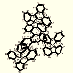 c1ccc([Si]2(c3ccccc3)c3ccccc3-c3cccc(-c4cccc5c(-c6cccc7c6-c6ccccc6C76c7ccccc7-c7c6c6ccccc6c6ccccc76)c6cccc(-c7cccc8c7[Si](c7ccccc7)(c7ccccc7)c7ccccc7-8)c6cc45)c32)cc1